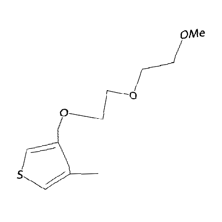 COCCOCCOc1cscc1C